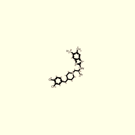 Cc1cc2nc(N[C@H](CN3CCC(Cc4ccc(Cl)c(Cl)c4)CC3)C(C)C)oc2cc1C